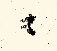 Cc1nc2c(CCCCNS(=O)(=O)c3ccccc3)ccc3[nH]c(=O)c1n32.Cl